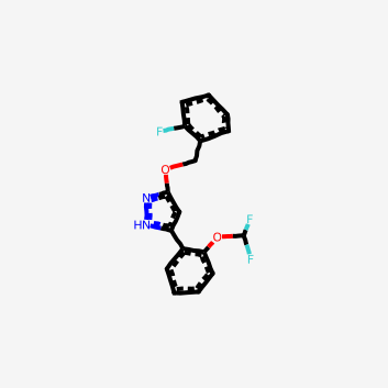 Fc1ccccc1COc1cc(-c2ccccc2OC(F)F)[nH]n1